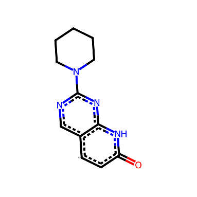 O=c1c[c]c2cnc(N3CCCCC3)nc2[nH]1